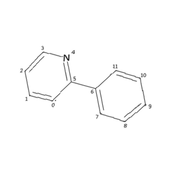 [c]1cccnc1-c1ccccc1